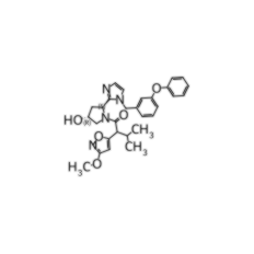 COc1cc(C(C(=O)N2C[C@H](O)C[C@H]2c2nccn2Cc2cccc(Oc3ccccc3)c2)C(C)C)on1